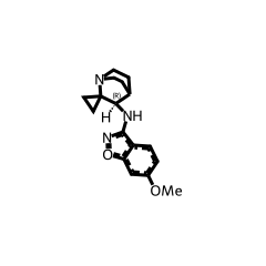 COc1ccc2c(N[C@@H]3C4CCN(CC4)C34CC4)noc2c1